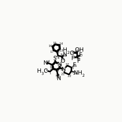 CCc1c(C#N)c(S[C@@H](C(N)=O)c2ccccc2)nc(N2CC[C@H](N)[C@@H](F)C2)c1C#N.O=C(O)C(F)(F)F